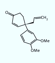 C=CC[C@@]1(c2ccc(OC)c(OC)c2)C=CC(=O)CC1